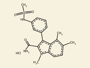 Cc1ccc2c(c1C)c(-c1cccc(NS(C)(=O)=O)c1)c(C(N)=O)n2C.Cl